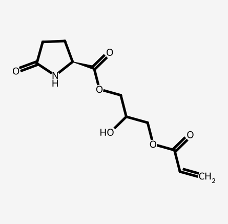 C=CC(=O)OCC(O)COC(=O)[C@@H]1CCC(=O)N1